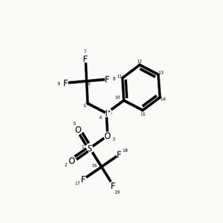 O=S(=O)(O[I+](CC(F)(F)F)c1ccccc1)C(F)(F)F